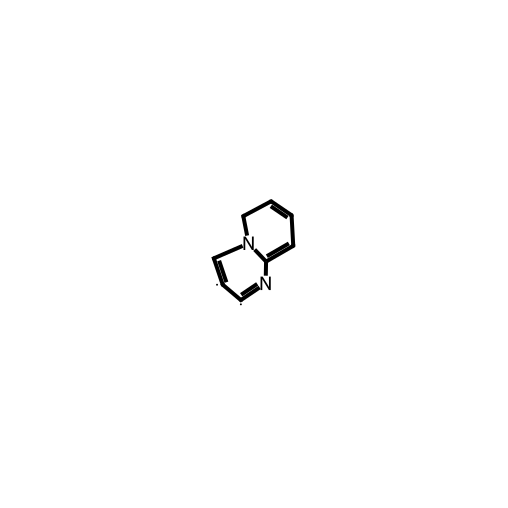 [C]1=CN2CC=CC=C2N=[C]1